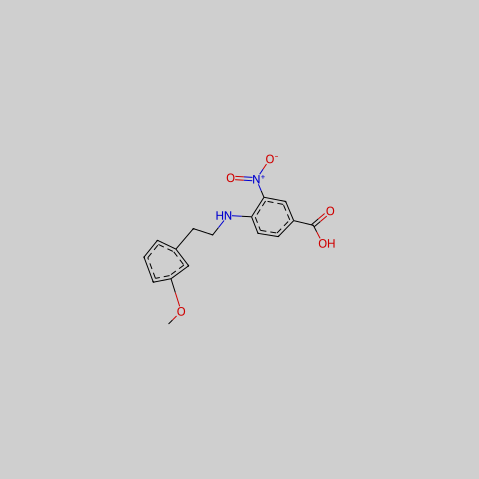 COc1cccc(CCNc2ccc(C(=O)O)cc2[N+](=O)[O-])c1